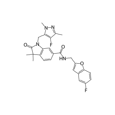 Cc1nn(C)c(CN2C(=O)C(C)(C)c3ccc(C(=O)NCc4cc5cc(F)ccc5o4)cc32)c1F